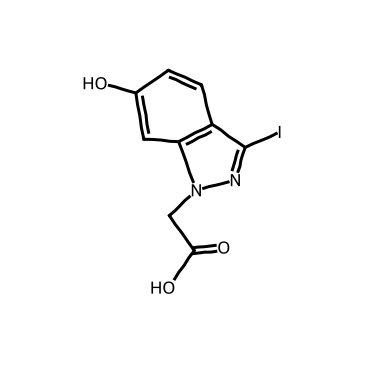 O=C(O)Cn1nc(I)c2ccc(O)cc21